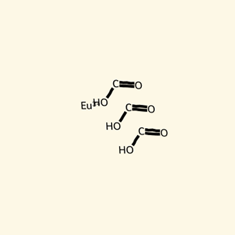 O=[C-]O.O=[C-]O.O=[C-]O.[Eu+3]